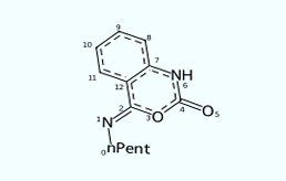 CCCCCN=c1oc(=O)[nH]c2ccccc12